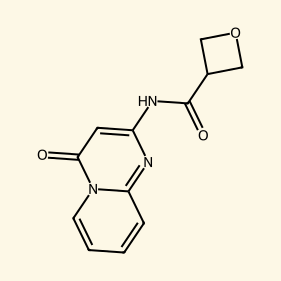 O=C(Nc1cc(=O)n2ccccc2n1)C1COC1